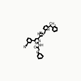 CC(c1ccccc1)c1cccc(Cn2cc(-c3cc(-c4cccc(C#N)c4)nc(NC(=O)COc4ccccc4)n3)nn2)n1